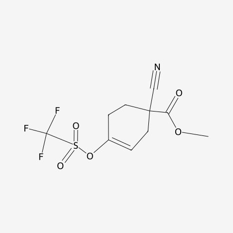 COC(=O)C1(C#N)CC=C(OS(=O)(=O)C(F)(F)F)CC1